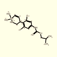 CC(C)COC(=O)Nc1cc(F)c(C2C=CS(O)(O)NC2)c(F)c1